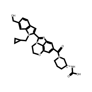 O=C(O)N[C@@H]1CCCN(C(=O)c2cc3c4c(c2)nc(-c2cc5ccc(CO)cc5n2CC2CC2)n4CCO3)C1